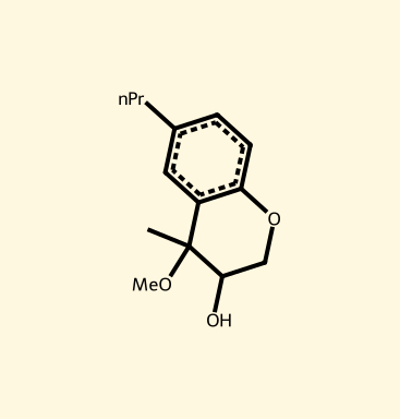 CCCc1ccc2c(c1)C(C)(OC)C(O)CO2